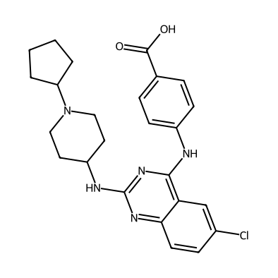 O=C(O)c1ccc(Nc2nc(NC3CCN(C4CCCC4)CC3)nc3ccc(Cl)cc23)cc1